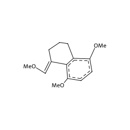 COC=C1CCCc2c(OC)ccc(OC)c21